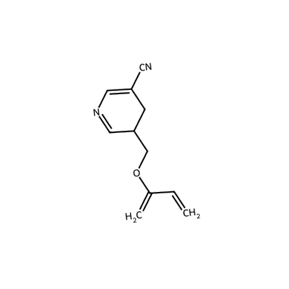 C=CC(=C)OCC1C=NC=C(C#N)C1